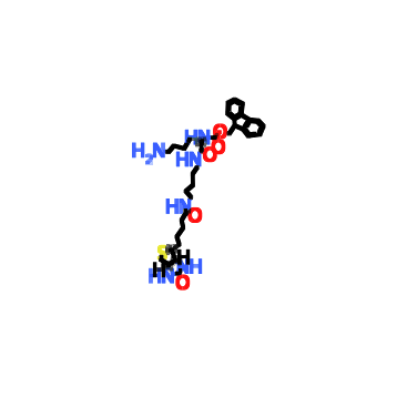 NCCCC[C@H](NC(=O)OCC1c2ccccc2-c2ccccc21)C(=O)NCCCCCNC(=O)CCCC[C@@H]1SC[C@@H]2NC(=O)N[C@@H]21